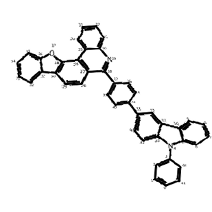 c1ccc(-n2c3ccccc3c3cc(-c4ccc(-c5nc6ccccc6c6c5ccc5c7ccccc7oc56)cc4)ccc32)cc1